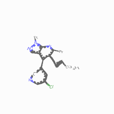 CCn1ncc2c(-c3cncc(Cl)c3)c(C=CC(=O)O)c(C(C)C)nc21